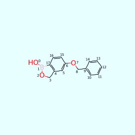 OB1OCc2cc(OCc3ccccc3)ccc21